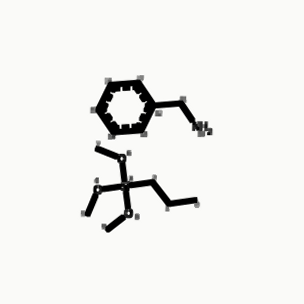 CCC[Si](OC)(OC)OC.NCc1ccccc1